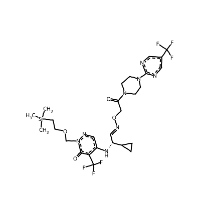 C[Si](C)(C)CCOCn1ncc(N[C@H](/C=N/OCC(=O)N2CCN(c3ncc(C(F)(F)F)cn3)CC2)C2CC2)c(C(F)(F)F)c1=O